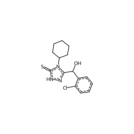 OC(c1ccccc1Cl)c1n[nH]c(=S)n1C1CCCCC1